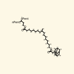 CCCCCC(CCCCC)CCOC(=O)CCCCCCCC(C)CCCCCCCCOC(=O)CC12CC3CC(CC(C3)C1)C2